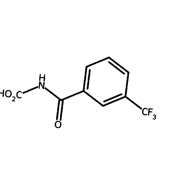 O=C(O)NC(=O)c1cccc(C(F)(F)F)c1